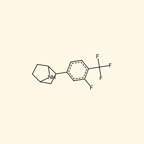 Fc1cc(C2CC3CCC2N3)ccc1C(F)(F)F